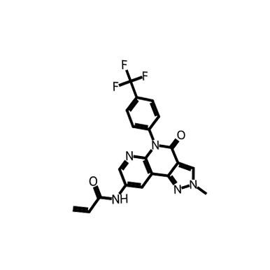 C=CC(=O)Nc1cnc2c(c1)c1nn(C)cc1c(=O)n2-c1ccc(C(F)(F)F)cc1